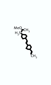 CC=CC1CCC(C=CC2CCC([SiH2]C(C)OC)CC2)CC1